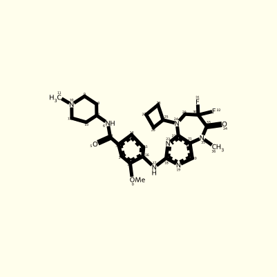 COc1cc(C(=O)NC2CCN(C)CC2)ccc1Nc1ncc2c(n1)N(C1CCC1)CC(F)(F)C(=O)N2C